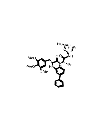 COc1cc(C[C@H](Nc2cccc(-c3ccccc3)c2)C(=O)N[C@H](C(=O)N[C@@H](CC(C)C)OB(O)O)C(C)C)cc(OC)c1OC